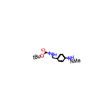 CNNc1ccc(CNC(=O)OC(C)(C)C)cc1